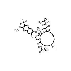 COc1cc2nc(C(F)(F)F)c(OC)nc2cc1O[C@@H]1C[C@H]2C(=O)NC3(C(=O)NS(=O)(=O)C4(C)CC4)CC3/C=C\CC[C@@H](C)C[C@@H](C)[C@H](NC(=O)O)C(=O)N2C1